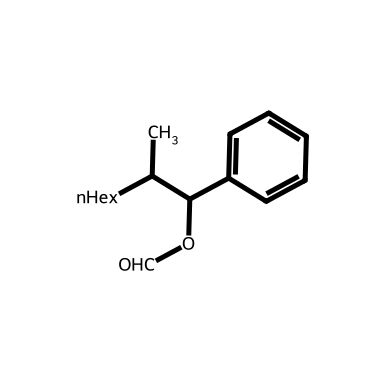 CCCCCCC(C)C(OC=O)c1ccccc1